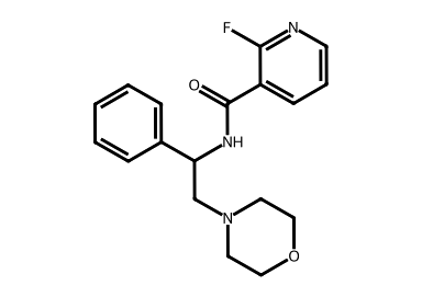 O=C(NC(CN1CCOCC1)c1ccccc1)c1cccnc1F